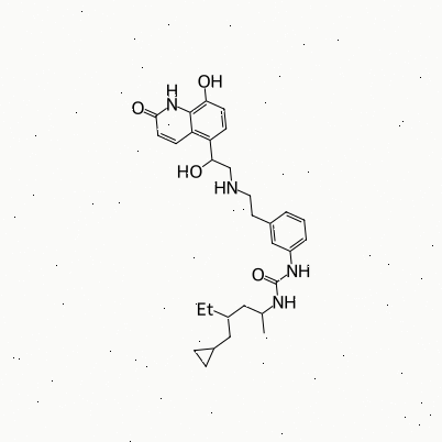 CCC(CC1CC1)CC(C)NC(=O)Nc1cccc(CCNCC(O)c2ccc(O)c3[nH]c(=O)ccc23)c1